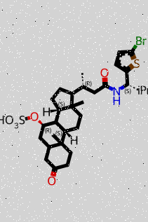 CC(C)[C@H](NC(=O)C[C@@H](C)C1CC[C@H]2C3[C@H](OS(=O)(=O)O)CC4CC(=O)CCC4(C)[C@H]3CCC12C)c1ccc(Br)s1